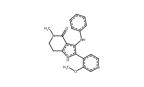 COc1cnccc1-c1[nH]c2c(c1Nc1ccccc1)C(=O)N(C)CC2